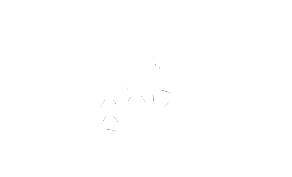 CCN(CC)CCCCN(Cc1ccc2ccccc2c1)C(=O)c1sc2cc(C)ccc2c1Cl